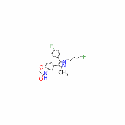 Cc1nn(CCCCCF)c(-c2ccc(F)cc2)c1-c1ccc2c(c1)NC(=O)CO2